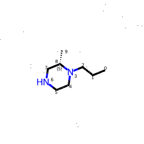 CCCN1CCNC[C@@H]1C